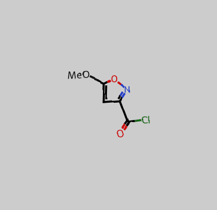 COc1cc(C(=O)Cl)no1